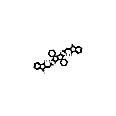 O=C1C(=Cc2nc3c(s2)C2=C(c4sc(C=C5C(=O)c6ccccc6C5=O)nc4C24CCCCC4)C32CCCCC2)C(=O)c2ccccc21